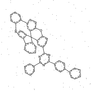 N#Cc1ccccc1-c1ccc2c(c1)C1(c3cc(-c4nc(-c5ccccc5)nc(-c5ccc(-c6ccccc6)cc5)n4)ccc3O2)c2ccccc2-c2ccccc21